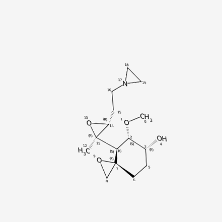 CO[C@@H]1[C@H](O)CC[C@]2(CO2)[C@H]1[C@@]1(C)O[C@@H]1CCN1CC1